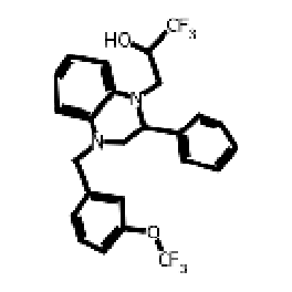 OC(CN1c2ccccc2N(Cc2cccc(OC(F)(F)F)c2)CC1c1ccccc1)C(F)(F)F